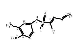 C=C/C=C(\CC)S(=O)(=O)Nc1ccc(C=O)c(C)n1